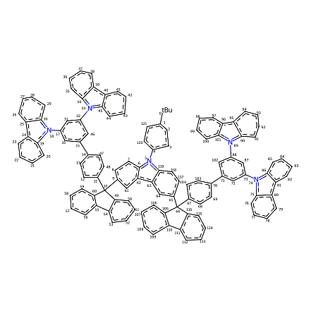 CC(C)(C)c1ccc(-n2c3ccc(C4(c5ccc(-c6cc(-n7c8ccccc8c8ccccc87)cc(-n7c8ccccc8c8ccccc87)c6)cc5)c5ccccc5-c5ccccc54)cc3c3cc(C4(c5ccc(-c6cc(-n7c8ccccc8c8ccccc87)cc(-n7c8ccccc8c8ccccc87)c6)cc5)c5ccccc5-c5ccccc54)ccc32)cc1